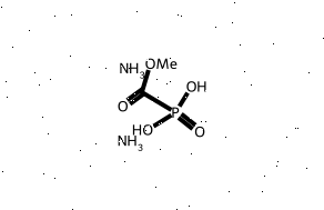 COC(=O)P(=O)(O)O.N.N